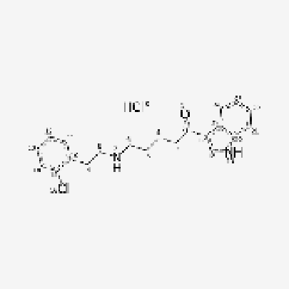 Cl.O=C(CCCCNCCc1ccccc1Cl)c1c[nH]c2ccccc12